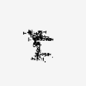 CC[C@H](C)[C@H](N)C(=O)N(C)[C@@H](CCCCN)C(=O)N1CCN(c2ccc3ncn(CC(=O)N[C@@H](CCCNC(=N)N)C(=O)N[C@@H](Cc4c[nH]cn4)C(=O)N[C@@H](Cc4ccc(O)cc4)C(=O)NC)c(=O)c3c2)CC1